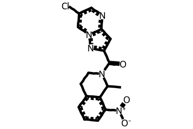 CC1c2c(cccc2[N+](=O)[O-])CCN1C(=O)c1cc2ncc(Cl)cn2n1